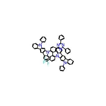 FC(F)(F)c1ccc(-n2c3ccccc3c3cc4c5ccccc5n(-c5ccccc5)c4cc32)c(-c2cc(-c3nc(-c4ccccc4)nc(-c4ccccc4)n3)ccc2-n2c3ccccc3c3cc4c5ccccc5n(-c5ccccc5)c4cc32)c1